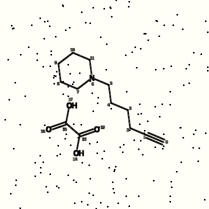 C#CCCCCN1CCCCC1.O=C(O)C(=O)O